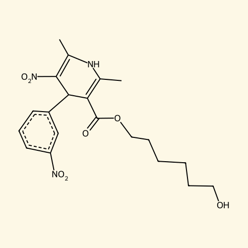 CC1=C(C(=O)OCCCCCCO)C(c2cccc([N+](=O)[O-])c2)C([N+](=O)[O-])=C(C)N1